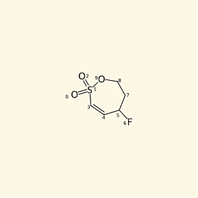 O=S1(=O)C=CC(F)CCO1